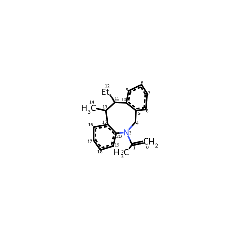 C=C(C)N1Cc2ccccc2C(CC)C(C)c2ccccc21